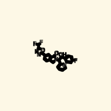 O=C1c2cc(-c3nnc(C(F)F)o3)ccc2CN1C(c1ccccn1)C(O)c1ccc(F)cc1